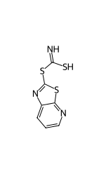 N=C(S)Sc1nc2cccnc2s1